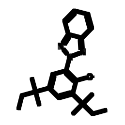 CCC(C)(C)c1cc(-n2nc3ccccc3n2)c([O])c(C(C)(C)CC)c1